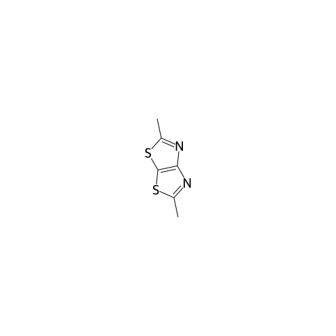 Cc1nc2nc(C)sc2s1